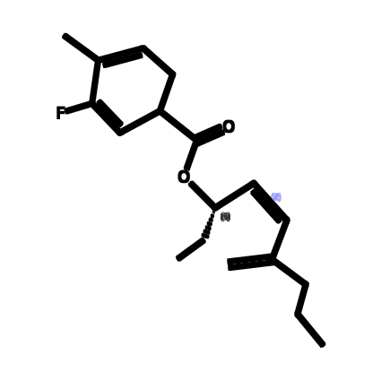 C=C(/C=C\[C@H](CC)OC(=O)C1C=C(F)C(C)=CC1)CCC